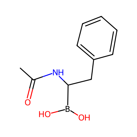 CC(=O)NC(Cc1ccccc1)B(O)O